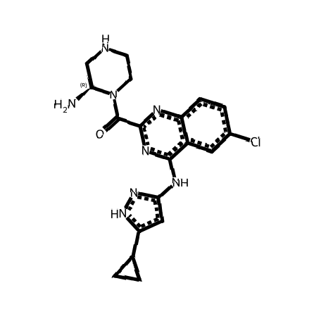 N[C@H]1CNCCN1C(=O)c1nc(Nc2cc(C3CC3)[nH]n2)c2cc(Cl)ccc2n1